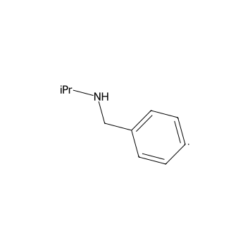 CC(C)NCc1cc[c]cc1